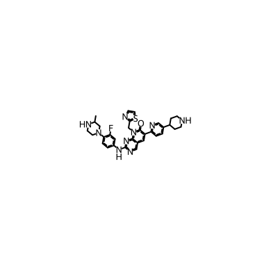 CC1CN(c2ccc(Nc3ncc4cc(-c5ccc(C6CCNCC6)cn5)c(=O)n(Cc5nccs5)c4n3)cc2F)CCN1